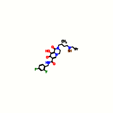 CC(C)CN(S)CC[C@@H](C)CN1CCn2cc(C(=O)NCc3ccc(F)cc3F)c(=O)c(O)c2C1=O